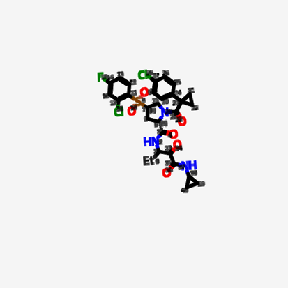 CCC(NC(=O)[C@@H]1C[C@@H](S(=O)(=O)c2ccc(F)cc2Cl)CN1C(=O)C1(c2ccc(Cl)cc2)CC1)C(=O)C(=O)NC1CC1